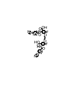 O=C(Nc1cc(OCCCOc2cc(C(=O)O)c(NC(=O)c3ccc(-n4ccnc4)nn3)cc2F)c(F)cc1C(=O)O)c1ccc(-n2ccnc2)nn1